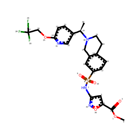 COC(=O)c1cc(NS(=O)(=O)c2ccc3c(c2)CN([C@H](C)c2ccc(OCC(F)(F)F)nc2)CC3)no1